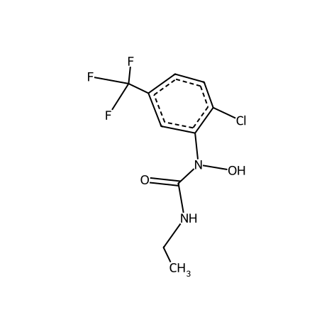 CCNC(=O)N(O)c1cc(C(F)(F)F)ccc1Cl